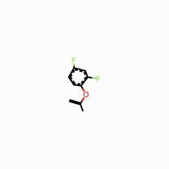 C=C(C)Oc1ccc(F)cc1F